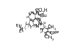 CCN(CC)CCc1cc2nn(Cc3ncc(C)c(OC)c3C)nc3c-2c1CSN=C3N(C(=O)O)C(C)(C)C